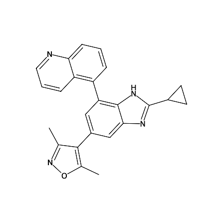 Cc1noc(C)c1-c1cc(-c2cccc3ncccc23)c2[nH]c(C3CC3)nc2c1